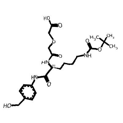 CC(C)(C)OC(=O)NCCCC[C@H](NC(=O)COCC(=O)O)C(=O)Nc1ccc(CO)cc1